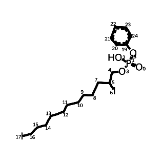 O=P(O)(OCC(I)CCCCCCCCCCI)Oc1ccccc1